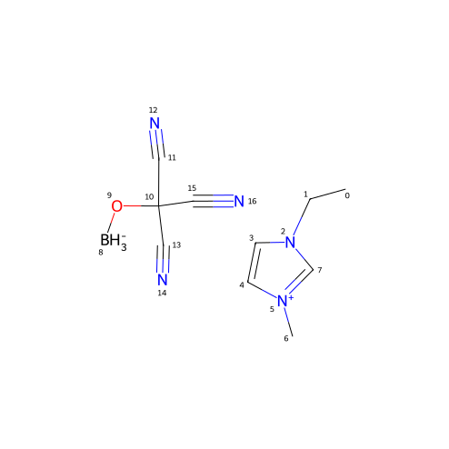 CCn1cc[n+](C)c1.[BH3-]OC(C#N)(C#N)C#N